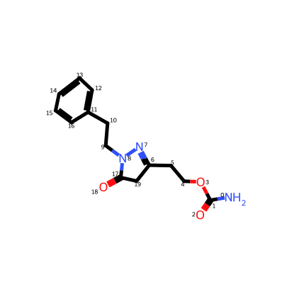 NC(=O)OCCC1=NN(CCc2ccccc2)C(=O)C1